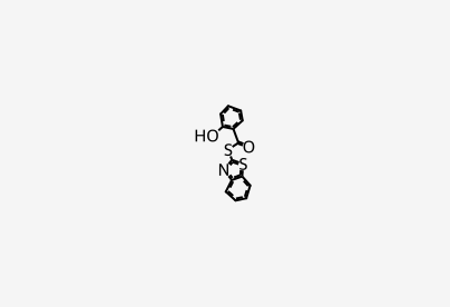 O=C(Sc1nc2ccccc2s1)c1ccccc1O